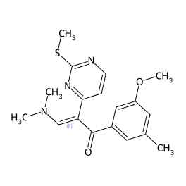 COc1cc(C)cc(C(=O)/C(=C/N(C)C)c2ccnc(SC)n2)c1